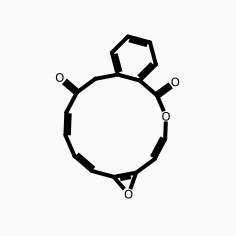 O=C1C=CC=CC2=C(C=COC(=O)c3ccccc3C1)O2